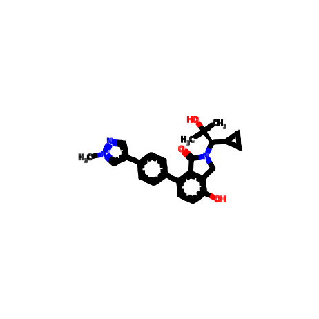 Cn1cc(-c2ccc(-c3ccc(O)c4c3C(=O)N([C@H](C3CC3)C(C)(C)O)C4)cc2)cn1